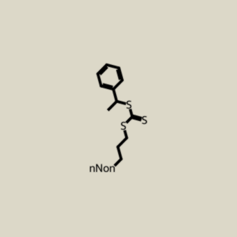 CCCCCCCCCCCCSC(=S)SC(C)c1ccccc1